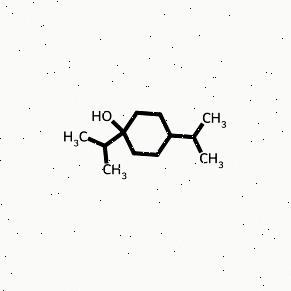 CC(C)C1CCC(O)(C(C)C)CC1